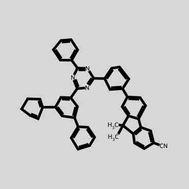 CC1(C)c2ccc(C#N)cc2-c2ccc(-c3cccc(-c4nc(-c5ccccc5)nc(-c5cc(C6=CCCC=C6)cc(-c6ccccc6)c5)n4)c3)cc21